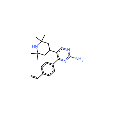 C=Cc1ccc(-c2nc(N)ncc2C2CC(C)(C)NC(C)(C)C2)cc1